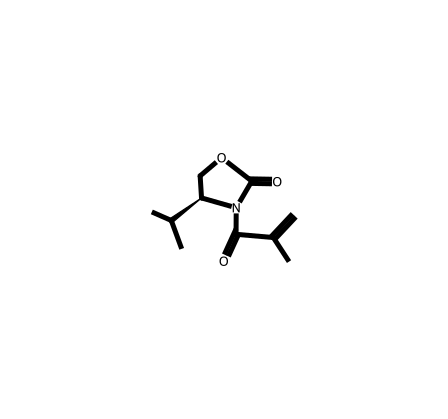 C=C(C)C(=O)N1C(=O)OC[C@@H]1C(C)C